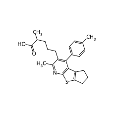 Cc1ccc(-c2c(CCCC(C)C(=O)O)c(C)nc3sc4c(c23)CCC4)cc1